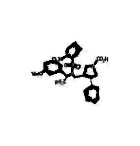 COc1cccc([C@@H](C)N(C[C@H]2CN(C(=O)O)C[C@@H]2c2ccccc2)S(=O)(=O)c2ccccc2[N+](=O)[O-])c1